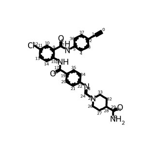 C#Cc1ccc(NC(=O)c2cc(Cl)ccc2NC(=O)c2ccc(N=CN3CCC(C(N)=O)CC3)cc2)cc1